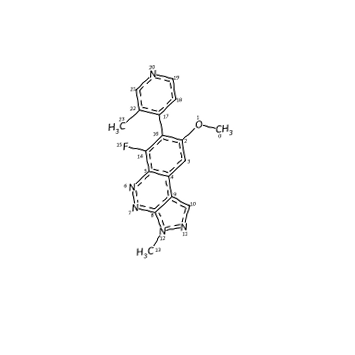 COc1cc2c(nnc3c2cnn3C)c(F)c1-c1ccncc1C